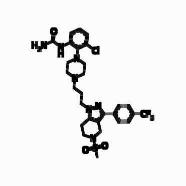 CS(=O)(=O)N1CCc2c(c(-c3ccc(C(F)(F)F)cc3)nn2CCCN2CCN(c3c(Cl)cccc3NC(N)=O)CC2)C1